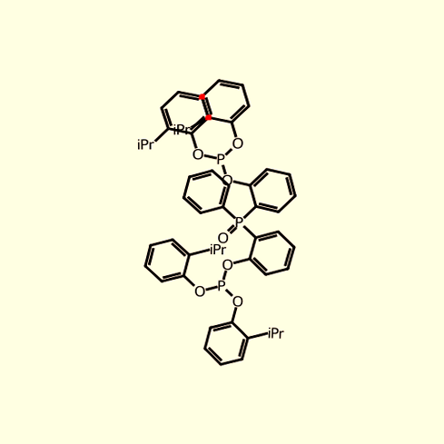 CC(C)c1ccccc1OP(Oc1ccccc1C(C)C)Oc1ccccc1P(=O)(c1ccccc1)c1ccccc1OP(Oc1ccccc1C(C)C)Oc1ccccc1C(C)C